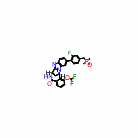 CP(C)(=O)Cc1ccc(-c2ccc3nc4n(c3c2)[C@@H]2C[C@H]4NC(=O)c3cccc(OC(F)F)c32)c(F)c1